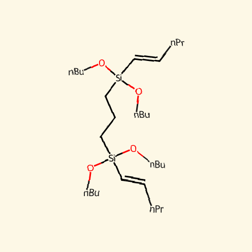 CCCC=C[Si](CCC[Si](C=CCCC)(OCCCC)OCCCC)(OCCCC)OCCCC